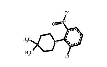 CC1(C)CCN(c2c(Cl)cccc2[N+](=O)[O-])CC1